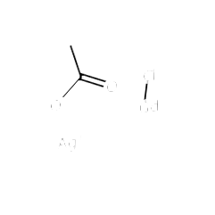 CC(=O)[O-].[Ag+].[Cl][Gd]